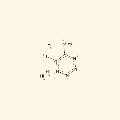 CCCCCCc1nnnnc1I.I.I.I